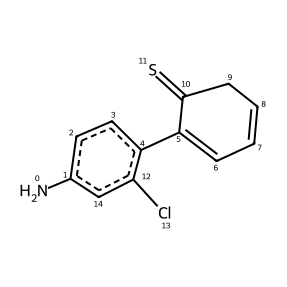 Nc1ccc(C2=CC=CCC2=S)c(Cl)c1